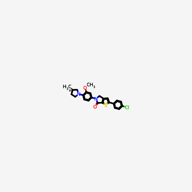 COc1cc(N2Cc3cc(-c4ccc(Cl)cc4)sc3C2=O)ccc1N1CC[C@@H](C)C1